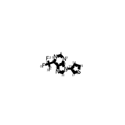 FC(F)(F)c1ncnc2c1ncn2-c1ccsc1